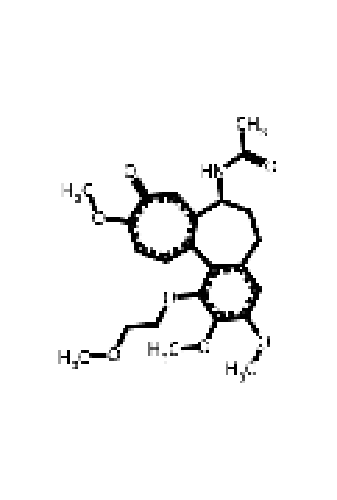 COCCOc1c(OC)c(OC)cc2c1-c1ccc(OC)c(=O)cc1C(NC(C)=O)CC2